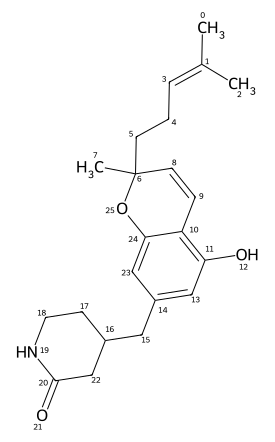 CC(C)=CCCC1(C)C=Cc2c(O)cc(CC3CCNC(=O)C3)cc2O1